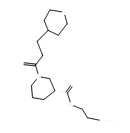 CCOC(=O)CCNC(=O)[C@@H]1CCCN(C(=O)CCC2CCNCC2)C1